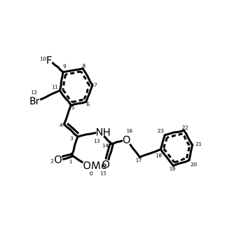 COC(=O)/C(=C/c1cccc(F)c1Br)NC(=O)OCc1ccccc1